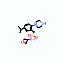 CC(C)c1ccc(N2CCNCC2)c(CS(=O)(=O)NC2COC2)c1